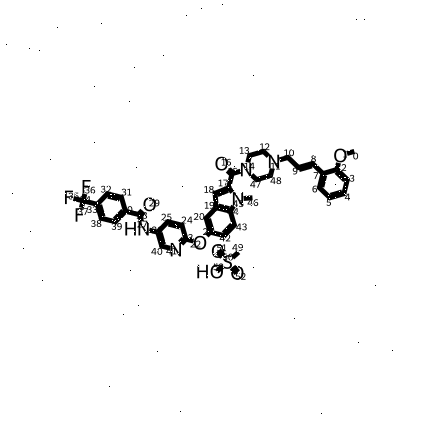 COc1ccccc1C=CCN1CCN(C(=O)c2cc3cc(Oc4ccc(NC(=O)c5ccc(C(F)(F)F)cc5)cn4)ccc3n2C)CC1.CS(=O)(=O)O